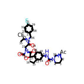 CC(=O)N1CCCN(C(=O)Nc2ccc3c(c2)CC[C@@]32OC(=O)N(CC(=O)N(Cc3ccc(F)cc3)[C@@H](C)C(F)(F)F)C2=O)C1